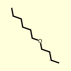 C[CH]CCOCCCCCC